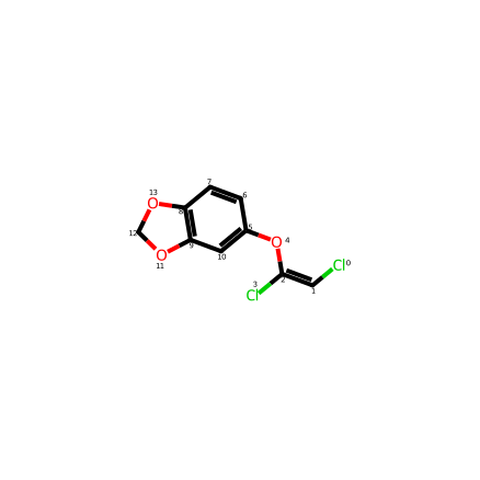 Cl/C=C(/Cl)Oc1ccc2c(c1)OCO2